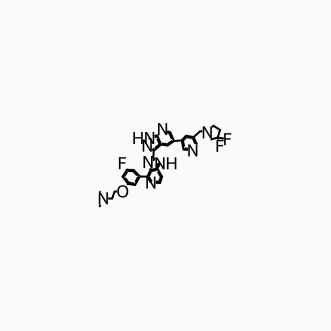 CN(C)CCOc1cc(F)cc(-c2nccc3[nH]c(-c4n[nH]c5ncc(-c6cncc(CN7CCC(F)(F)C7)c6)cc45)nc23)c1